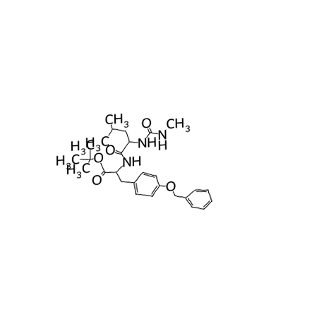 CNC(=O)NC(CC(C)C)C(=O)NC(Cc1ccc(OCc2ccccc2)cc1)C(=O)OC(C)(C)C